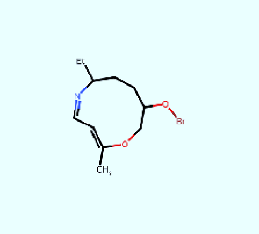 CCC1CCC(OBr)CO/C(C)=C/C=N\1